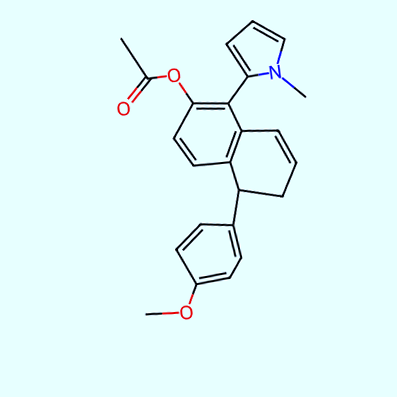 COc1ccc(C2CC=Cc3c2ccc(OC(C)=O)c3-c2cccn2C)cc1